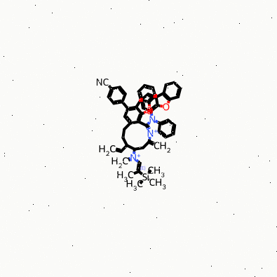 C=CC1CCc2cc(-c3ccc(C#N)cc3)c3c(oc4ccccc43)c2-c2n(-c3cccc4c5c(oc34)C=CCC5)c3ccccc3[n+]2C(=C)CC1[N+](=C)/C=C(\C)[Si](C)(C)C